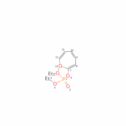 CCOP(=O)(OCC)OC1=CC=CC=CO1